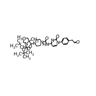 CC(C)(C)OC(=O)N1[C@H](C(C)(C)C)OC[C@]1(C)C(=O)N1CCN(C(=O)Nc2ccn(-c3ccc(CC=O)cc3)c(=O)n2)CC1